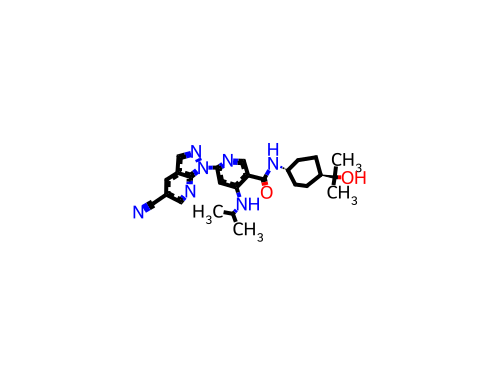 CC(C)Nc1cc(-n2ncc3cc(C#N)cnc32)ncc1C(=O)N[C@H]1CC[C@H](C(C)(C)O)CC1